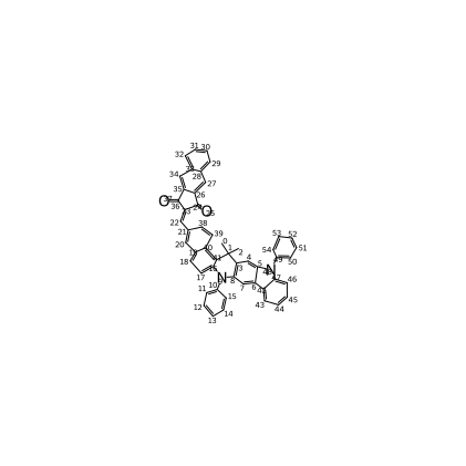 CC1(C)c2cc3c(cc2N(c2ccccc2)c2ccc4cc(C=C5C(=O)c6cc7ccccc7cc6C5=O)ccc4c21)c1ccccc1n3-c1ccccc1